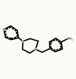 Nc1ccc(CN2CCN(c3ccncc3)CC2)cc1